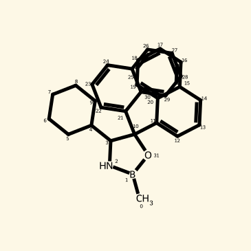 CB1NC(C2CCCCC2)C(c2cccc3ccccc23)(c2cccc3ccccc23)O1